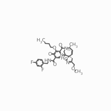 CCCCOc1c2n(cc(C(=O)NCc3ccc(F)cc3F)c1=O)[C@@H]1CN(C2=O)[C@@H](C)C=C[C@]12CC(COC)=NO2